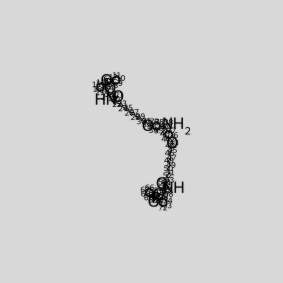 CC(C)(COP(=O)(c1ccccc1)c1ccccc1)NC(=O)CCCCCCCCCCOc1ccc(C(N)c2ccc(OCCCCCCCCCCC(=O)NC(C)(C)COP(=O)(c3ccccc3)c3ccccc3)cc2)cc1